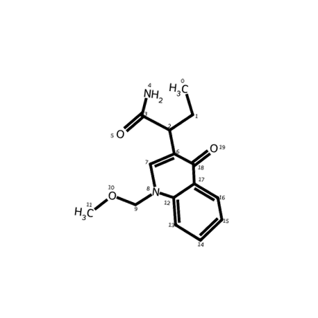 CCC(C(N)=O)c1cn(COC)c2ccccc2c1=O